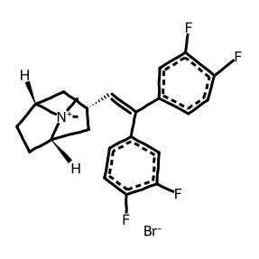 C[N+]1(C)[C@@H]2CC[C@H]1C[C@@H](C=C(c1ccc(F)c(F)c1)c1ccc(F)c(F)c1)C2.[Br-]